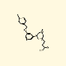 Cc1ccc(COc2cncc(N3C[C@H](CCC(=O)O)O[C@H](C)C3)c2)cc1